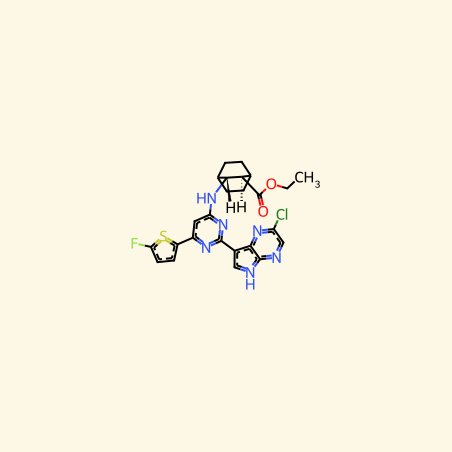 CCOC(=O)[C@@H]1C2CCC(CC2)[C@H]1Nc1cc(-c2ccc(F)s2)nc(-c2c[nH]c3ncc(Cl)nc23)n1